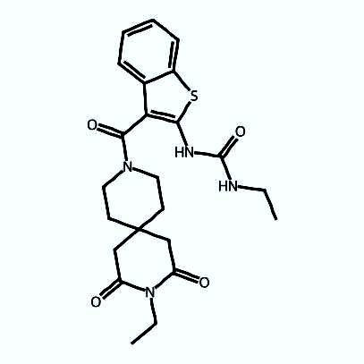 CCNC(=O)Nc1sc2ccccc2c1C(=O)N1CCC2(CC1)CC(=O)N(CC)C(=O)C2